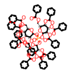 O=C(OC[C@H]1OC(OP(=O)(OC2O[C@H](COC(=O)c3ccccc3)[C@@H](OC(=O)c3ccccc3)[C@H](OC(=O)c3ccccc3)[C@H]2OC(=O)c2ccccc2)OC2O[C@H](COC(=O)c3ccccc3)[C@@H](OC(=O)c3ccccc3)[C@H](OC(=O)c3ccccc3)[C@H]2OC(=O)c2ccccc2)[C@H](OC(=O)c2ccccc2)[C@@H](OC(=O)c2ccccc2)[C@@H]1OC(=O)c1ccccc1)c1ccccc1